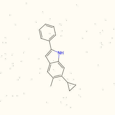 Cc1cc2cc(-c3ccccc3)[nH]c2cc1C1CC1